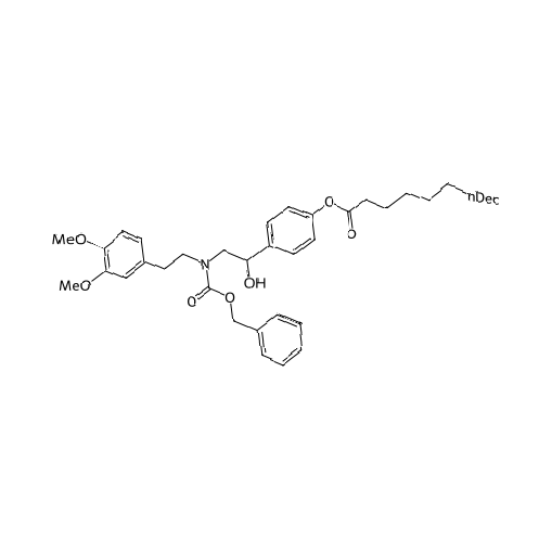 CCCCCCCCCCCCCCCC(=O)Oc1ccc(C(O)CN(CCc2ccc(OC)c(OC)c2)C(=O)OCc2ccccc2)cc1